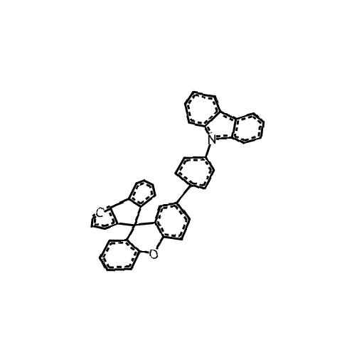 c1ccc2c(c1)Oc1ccc(-c3ccc(-n4c5ccccc5c5ccccc54)cc3)cc1C21c2ccccc2-c2ccccc21